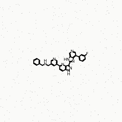 Fc1cccc(-c2cncc3[nH]c(-c4n[nH]c5ccc(-c6cncc(CNCc7ccccc7)c6)nc45)nc23)c1